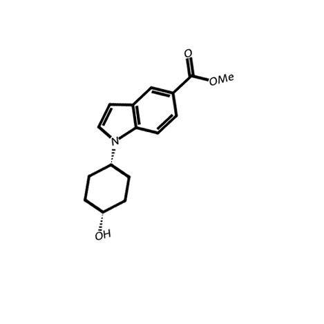 COC(=O)c1ccc2c(ccn2[C@H]2CC[C@@H](O)CC2)c1